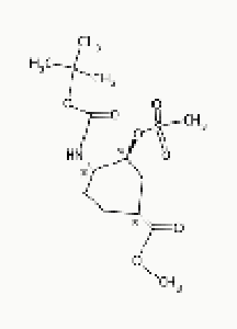 COC(=O)[C@@H]1CC[C@H](NC(=O)OC(C)(C)C)[C@@H](OS(C)(=O)=O)C1